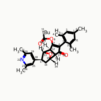 Cc1cc(C)c(C2=C(OC(=O)C(C)(C)C)[C@@H]3[C@@H]4O[C@@H](C[C@H]4c4cc(C)nc(C)c4)[C@@H]3C2=O)c(C)c1